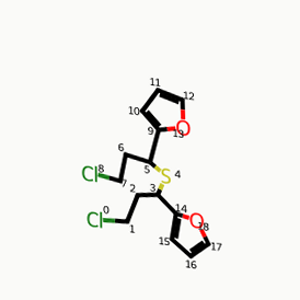 ClCCC(SC(CCCl)c1ccco1)c1ccco1